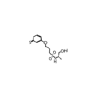 C[C@H](CO)NS(=O)(=O)CCCOC1=CC(=S)CC=C1